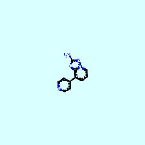 Nc1nc2c(-c3ccncc3)cccn2n1